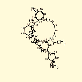 CCN1CCCCOc2ccc(F)cc2C(=O)N2CCCC[C@H]2c2cc3nc(N4CC[C@H](N)C4)cc1n3n2